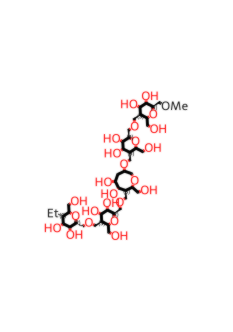 CC[C@@H]1C(CO)O[C@H](COC[C@@H]2C(CO)O[C@H](COC[C@@H]3C(CO)OCC(OC[C@@H]4C(CO)O[C@H](COC[C@@H]5C(CO)O[C@H](COC)C(O)C5O)C(O)C4O)CC(O)C3O)C(O)C2O)C(O)C1O